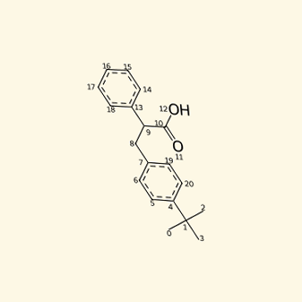 CC(C)(C)c1ccc(CC(C(=O)O)c2ccccc2)cc1